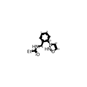 CCC(=O)NCc1ccccc1N1C=CON1